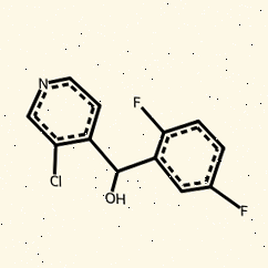 OC(c1cc(F)ccc1F)c1ccncc1Cl